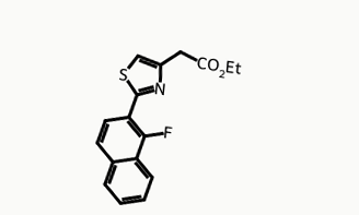 CCOC(=O)Cc1csc(-c2ccc3ccccc3c2F)n1